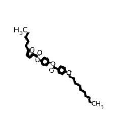 CCCCCCCCCCOc1ccc(C(=O)Oc2ccc(OC(=O)c3ccc(CCCCC)o3)cc2)cc1